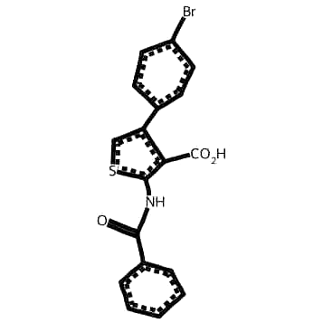 O=C(Nc1scc(-c2ccc(Br)cc2)c1C(=O)O)c1ccccc1